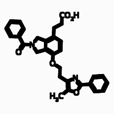 Cc1oc(-c2ccccc2)nc1CCOc1ccc(CCC(=O)O)c2c1CN(C(=O)c1ccccc1)C2